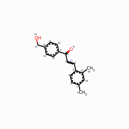 Cc1ccc(/C=C/C(=O)c2ccc(CO)cc2)c(C)c1